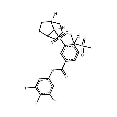 CS(=O)(=O)OC[C@@H]1CC2CC[C@@H](C1)[C@H]2S(=O)(=O)c1cc(C(=O)Nc2cc(F)c(F)c(F)c2)ccc1Cl